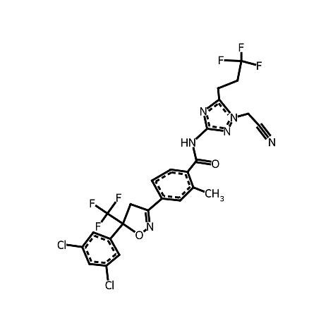 Cc1cc(C2=NOC(c3cc(Cl)cc(Cl)c3)(C(F)(F)F)C2)ccc1C(=O)Nc1nc(CCC(F)(F)F)n(CC#N)n1